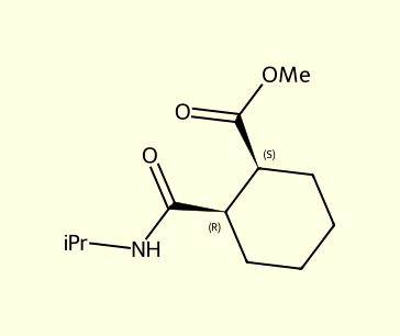 COC(=O)[C@H]1CCCC[C@H]1C(=O)NC(C)C